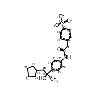 CCS(=O)(=O)c1ccc(CC(=O)Nc2ccc(C(O)(CC3CCCC3)C(F)(F)F)cc2)cc1